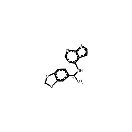 C[C@H](Nc1ncnc2sccc12)c1ccc2c(c1)OCO2